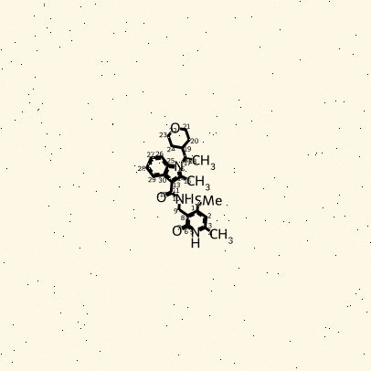 CSc1cc(C)[nH]c(=O)c1CNC(=O)c1c(C)n([C@H](C)C2CCOCC2)c2ccccc12